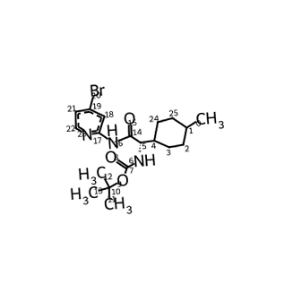 CC1CCC([C@H](NC(=O)OC(C)(C)C)C(=O)Nc2cc(Br)ccn2)CC1